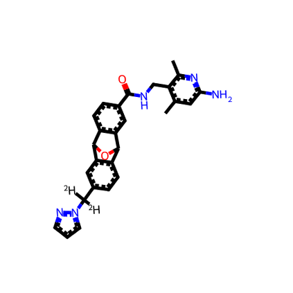 [2H]C([2H])(c1ccc2c(c1)C1OC2c2cc(C(=O)NCc3c(C)cc(N)nc3C)ccc21)n1cccn1